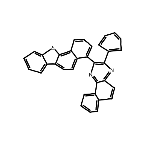 c1ccc(-c2nc3ccc4ccccc4c3nc2-c2cccc3c2ccc2c4ccccc4sc32)cc1